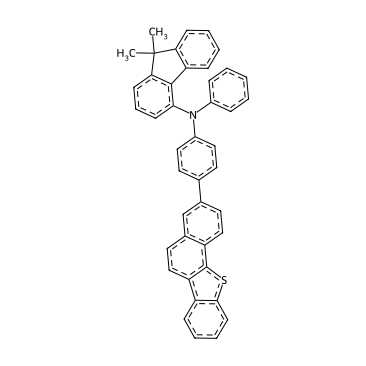 CC1(C)c2ccccc2-c2c(N(c3ccccc3)c3ccc(-c4ccc5c(ccc6c7ccccc7sc56)c4)cc3)cccc21